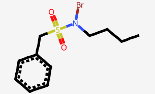 CCCCN(Br)S(=O)(=O)Cc1ccccc1